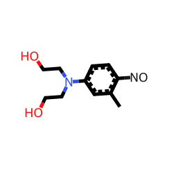 Cc1cc(N(CCO)CCO)ccc1N=O